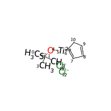 C[Si](C)(C)[O][Ti+2][C]1=CC=CC1.[Cl-].[Cl-]